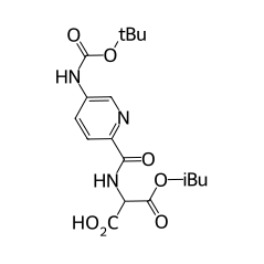 CCC(C)OC(=O)C(NC(=O)c1ccc(NC(=O)OC(C)(C)C)cn1)C(=O)O